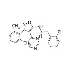 Cc1cccc(C)c1-c1noc(NC(=O)Cc2ccccc2Cl)c1-c1ccncn1